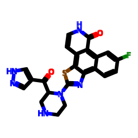 O=C(c1cn[nH]c1)C1CNCCN1c1nc2c3ccc(F)cc3c3c(=O)[nH]ccc3c2s1